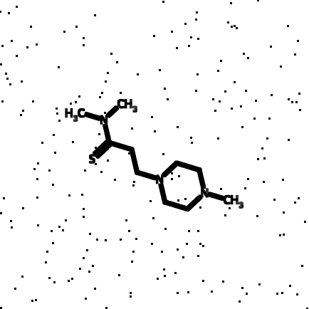 CN1CCN(CCC(=S)N(C)C)CC1